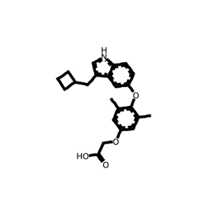 Cc1cc(OCC(=O)O)cc(C)c1Oc1ccc2[nH]cc(CC3CCC3)c2c1